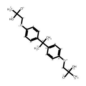 CC(O)(Cl)COc1ccc(C(C)(C)c2ccc(OCC(C)(O)Cl)cc2)cc1